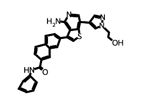 Nc1ncc(-c2cnn(CCO)c2)c2scc(-c3ccc4ccc(C(=O)Nc5ccccc5)cc4c3)c12